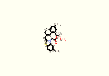 CCC(=Cc1ccc(C)cc1CC)C=C1Sc2ccc(C)cc2N1CC(=O)O.O